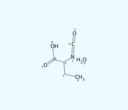 CCC(N=C=O)C(=O)O.O